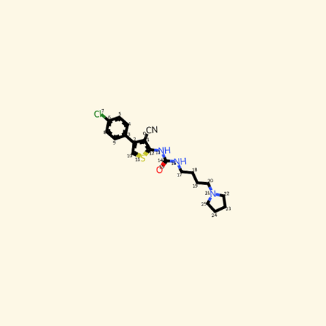 N#Cc1c(-c2ccc(Cl)cc2)csc1NC(=O)NCCCCN1CCCC1